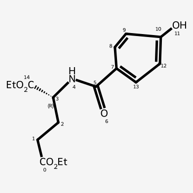 CCOC(=O)CC[C@@H](NC(=O)c1ccc(O)cc1)C(=O)OCC